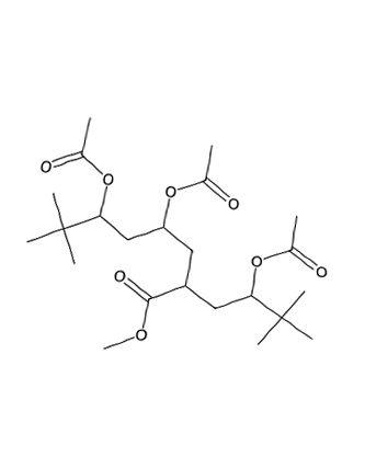 COC(=O)C(CC(CC(OC(C)=O)C(C)(C)C)OC(C)=O)CC(OC(C)=O)C(C)(C)C